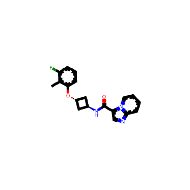 Cc1c(F)cccc1O[C@H]1C[C@H](NC(=O)c2cnc3ccccn23)C1